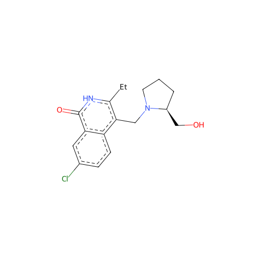 CCc1[nH]c(=O)c2cc(Cl)ccc2c1CN1CCC[C@H]1CO